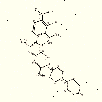 COc1nc2nc(C)nc(N[C@H](C)c3cccc(C(F)F)c3F)c2cc1N1CCN(C2CCOCC2)CC1